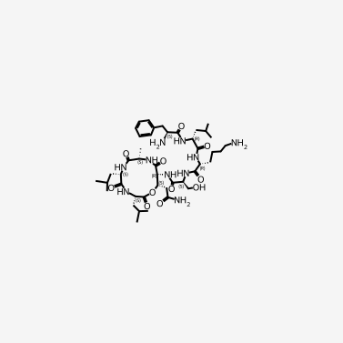 CC(C)C[C@@H]1NC(=O)[C@H](C)NC(=O)[C@H](NC(=O)[C@H](CO)NC(=O)[C@@H](CCCCN)NC(=O)[C@@H](CC(C)C)NC(=O)[C@@H](N)Cc2ccccc2)[C@H](CC(N)=O)OC(=O)[C@H](CC(C)C)NC1=O